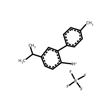 Cc1ccc(-c2cc(C(C)C)ccc2[IH+])cc1.F[B-](F)(F)F